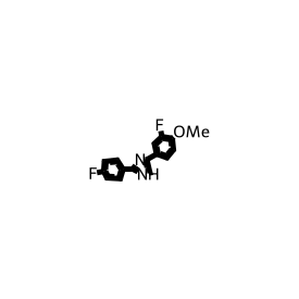 COc1ccc(-c2c[nH]c(-c3ccc(F)cc3)n2)cc1F